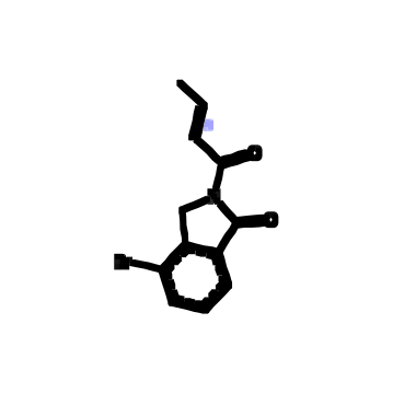 C/C=C/C(=O)N1Cc2c(Br)cccc2C1=O